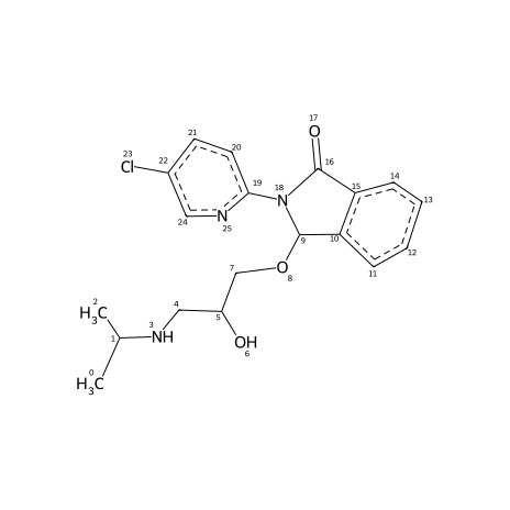 CC(C)NCC(O)COC1c2ccccc2C(=O)N1c1ccc(Cl)cn1